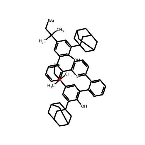 CC(C)(C)CC(C)(C)c1cc(-c2ccccc2-c2cccc(-c3ccccc3-c3cc(C(C)(C)CC(C)(C)C)cc(C45CC6CC(CC(C6)C4)C5)c3O)n2)c(O)c(C23CC4CC(CC(C4)C2)C3)c1